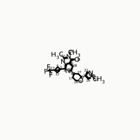 Cc1nc2c(C34CC(C(F)(F)F)(C3)C4)nc([C@H]3CCO[C@@H](c4cnn(C)c4)C3)cc2c(=O)n1C